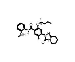 CCC[C@H](C)Oc1cc(-n2nc3n(c2=O)CCCC3)c(F)cc1C(=O)Nc1ccccc1NC